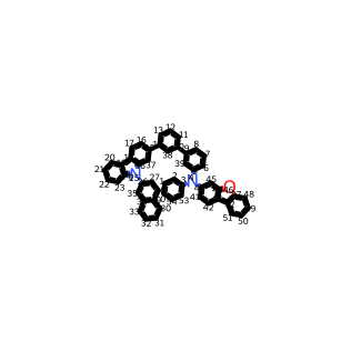 c1ccc(N(c2cccc(-c3cccc(-c4ccc5c6ccccc6n(-c6ccc7ccccc7c6)c5c4)c3)c2)c2ccc3c(c2)oc2ccccc23)cc1